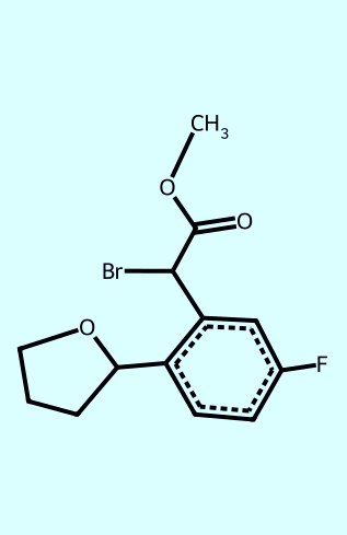 COC(=O)C(Br)c1cc(F)ccc1C1CCCO1